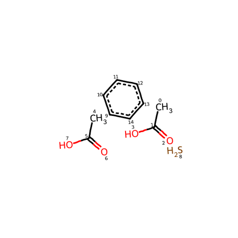 CC(=O)O.CC(=O)O.S.c1ccccc1